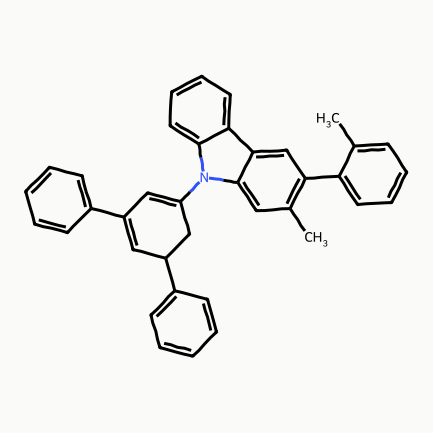 Cc1ccccc1-c1cc2c3ccccc3n(C3=CC(c4ccccc4)=CC(c4ccccc4)C3)c2cc1C